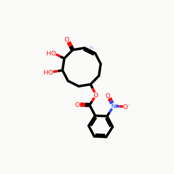 O=C(OC1CC/C=C\C(=O)C(O)C(O)CC1)c1ccccc1[N+](=O)[O-]